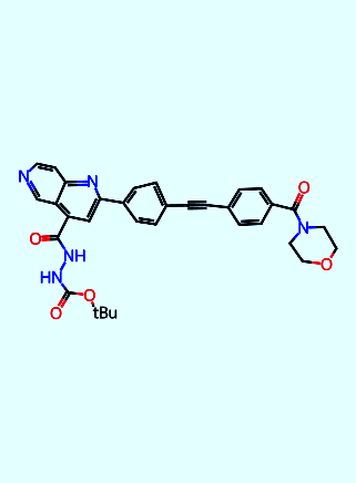 CC(C)(C)OC(=O)NNC(=O)c1cc(-c2ccc(C#Cc3ccc(C(=O)N4CCOCC4)cc3)cc2)nc2ccncc12